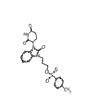 Cc1ccc(S(=O)(=O)OCCCn2c(=O)n(C3CCC(=O)NC3=O)c3ccccc32)cc1